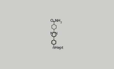 CCCCCCCc1ccc(-c2cnc(C3CCC(C(N)=O)CC3)nc2)cc1